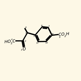 CC(C(=O)C(=O)O)c1ccc(C(=O)O)cc1